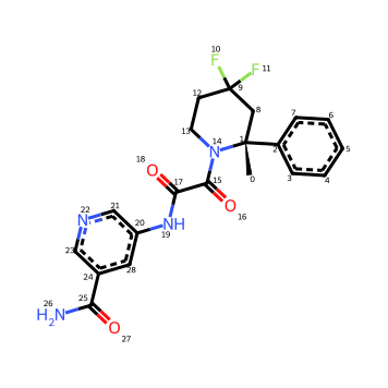 C[C@]1(c2ccccc2)CC(F)(F)CCN1C(=O)C(=O)Nc1cncc(C(N)=O)c1